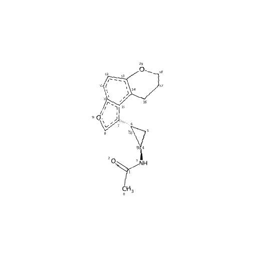 CC(=O)N[C@@H]1C[C@H]1c1coc2ccc3c(c12)CCCO3